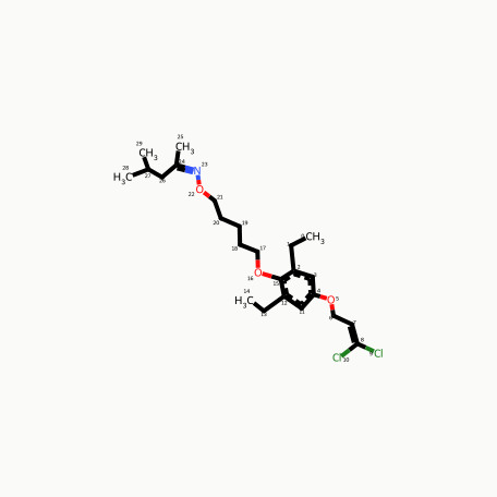 CCc1cc(OCC=C(Cl)Cl)cc(CC)c1OCCCCCON=C(C)CC(C)C